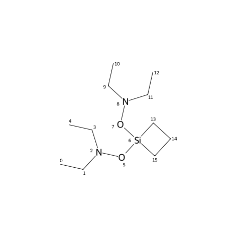 CCN(CC)O[Si]1(ON(CC)CC)CCC1